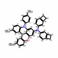 CC(C)(C)c1ccc(N2c3ccc(C(C)(C)C)cc3B3c4cc(C(C)(C)C)ccc4Oc4cc(N(c5ccc6c(c5)CC6)c5ccc6c(c5)CC6)cc2c43)cc1